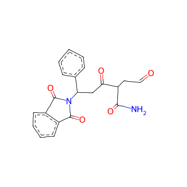 NC(=O)C(CC=O)C(=O)CC(c1ccccc1)N1C(=O)c2ccccc2C1=O